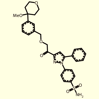 COC1(c2cccc(COCC(=O)c3cc(-c4ccccc4)n(-c4ccc(S(N)(=O)=O)cc4)n3)c2)CCOCC1